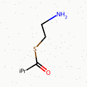 CC(C)C(=O)SCCN